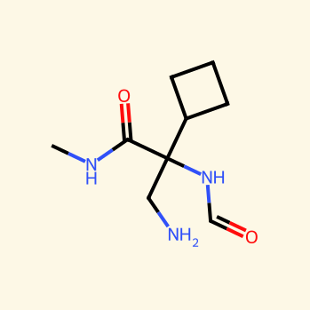 CNC(=O)C(CN)(NC=O)C1CCC1